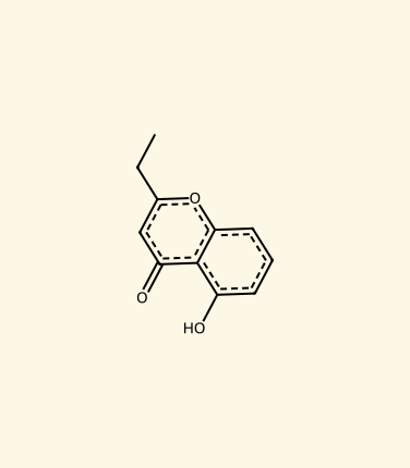 CCc1cc(=O)c2c(O)cccc2o1